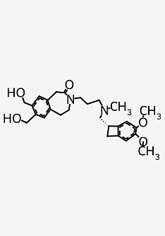 COc1cc2c(cc1OC)[C@@H](CN(C)CCCN1CCc3cc(CO)c(CO)cc3CC1=O)C2